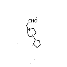 O=CCN1CCN(C2CCCC2)CC1